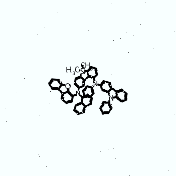 C[Si]1(C)c2ccc(N(c3cccc4ccccc34)c3cccc4c3oc3ccccc34)cc2-c2c(N(c3ccccc3)c3ccc4c5ccccc5n(-c5ccccc5)c4c3)cccc21